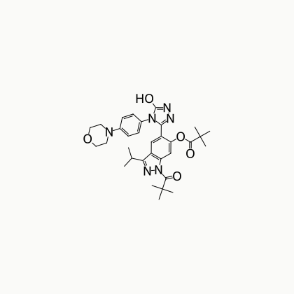 CC(C)c1nn(C(=O)C(C)(C)C)c2cc(OC(=O)C(C)(C)C)c(-c3nnc(O)n3-c3ccc(N4CCOCC4)cc3)cc12